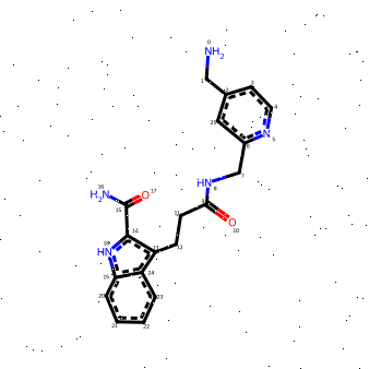 NCc1ccnc(CNC(=O)[CH]Cc2c(C(N)=O)[nH]c3ccccc23)c1